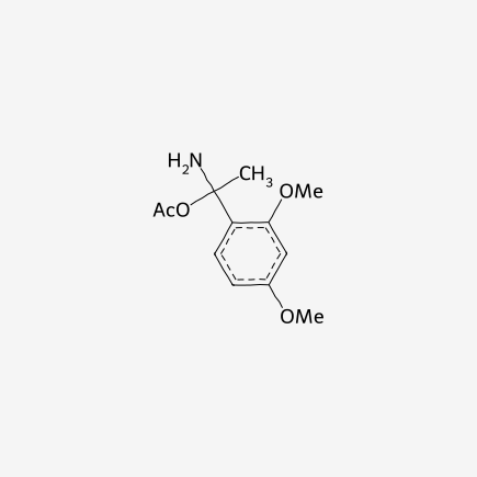 COc1ccc(C(C)(N)OC(C)=O)c(OC)c1